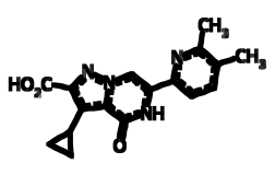 Cc1ccc(-c2cn3nc(C(=O)O)c(C4CC4)c3c(=O)[nH]2)nc1C